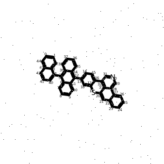 c1ccc2c(-c3c4ccccc4c(-c4ccc5c(c4)Sc4cc6ccccc6c6cncc-5c46)c4ccccc34)cccc2c1